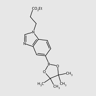 CCOC(=O)CCn1cnc2cc(B3OC(C)(C)C(C)(C)O3)ccc21